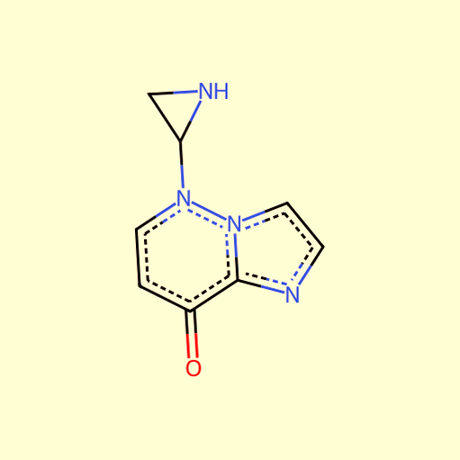 O=c1ccn(C2CN2)n2ccnc12